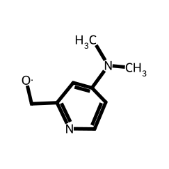 CN(C)c1ccnc(C[O])c1